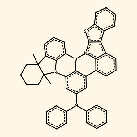 CC12CCCCC1(C)N1c3cc(N(c4ccccc4)c4ccccc4)cc4c3B(c3cccc2c31)n1c2sc3ccccc3c2c2cccc-4c21